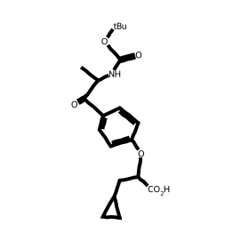 CC(NC(=O)OC(C)(C)C)C(=O)c1ccc(OC(CC2CC2)C(=O)O)cc1